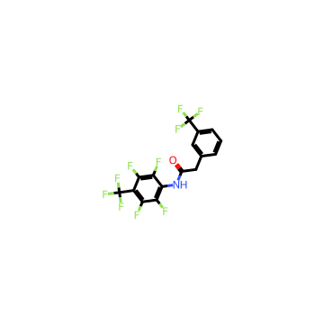 O=C(Cc1cccc(C(F)(F)F)c1)Nc1c(F)c(F)c(C(F)(F)F)c(F)c1F